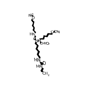 C=CCNC(=O)NCCCCCCN(OCNCCCCCCOC#N)N(C=O)CCCCCCOC#N